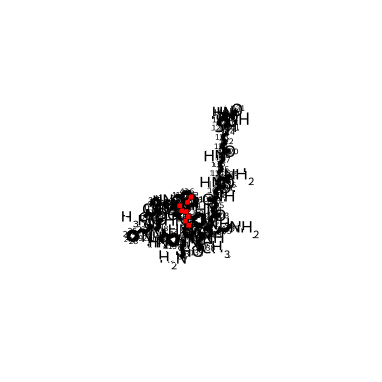 CC(C)[C@H](NC(=O)[C@H](Cc1c[nH]c2ccccc12)NC(=O)[C@@H](N)Cc1ccccc1)C(=O)N1CCC[C@H]1C(=O)N[C@@H](Cc1ccccc1)C(=O)N[C@@H](Cc1c[nH]c2ccccc12)C(=O)N[C@@H](Cc1c[nH]c2ccccc12)C(=O)N[C@@H](CCCCN)C(=O)N[C@H](C(=O)N[C@@H](CCCCN)C(=O)NCC(=O)NCC(=O)NCC(=O)N[C@@H](CCCCNC(=O)CCCC[C@@H]1SC[C@@H]2NC(=O)N[C@@H]21)C(N)=O)[C@@H](C)O